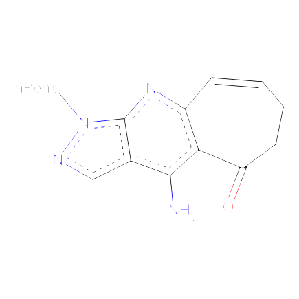 CCCCCn1ncc2c(N)c3c(nc21)C=CCCC3=O